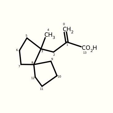 C=C(CC1(C)CCCC12CCCC2)C(=O)O